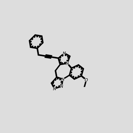 COc1ccc2c(c1)-n1nncc1Cc1c(C#CCc3ccccc3)ncn1-2